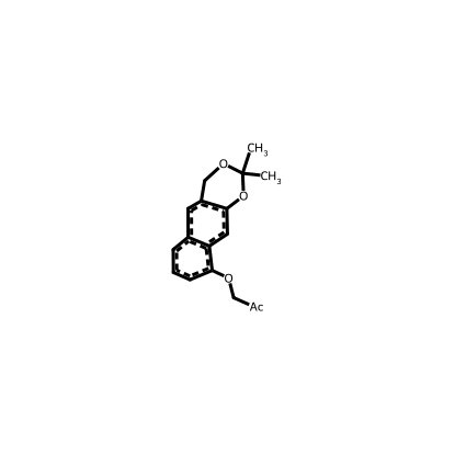 CC(=O)COc1cccc2cc3c(cc12)OC(C)(C)OC3